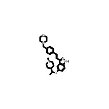 CC(Oc1ccc2[nH]nc(/C=C/c3ccc(CN4CCOCC4)cc3)c2c1)C1CCN(C)CC1